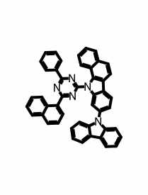 c1ccc(-c2nc(-c3cccc4ccccc34)nc(-n3c4cc(-n5c6ccccc6c6ccccc65)ccc4c4ccc5ccccc5c43)n2)cc1